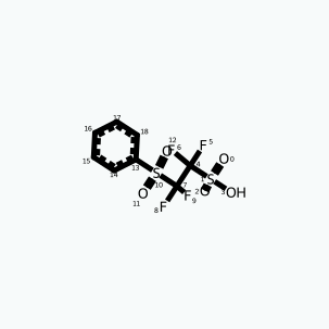 O=S(=O)(O)C(F)(F)C(F)(F)S(=O)(=O)c1ccccc1